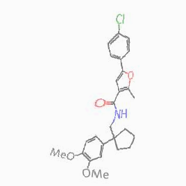 COc1ccc(C2(CNC(=O)c3cc(-c4ccc(Cl)cc4)oc3C)CCCC2)cc1OC